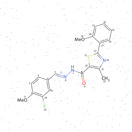 COc1ccc(/C=N/NC(=O)c2sc(-c3ccccc3OC)nc2C)cc1F